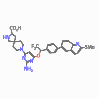 CSc1ccc2cc(-c3ccc(C(Oc4cc(N5CCC6(CC5)CNC(C(=O)O)C6)nc(N)n4)C(F)(F)F)cc3)ccc2n1